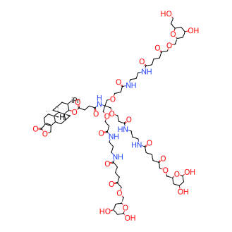 CC(C)C1CC2[C@@H](C)[C@]23[C@]2(C[C@H]2CC2C4=C(CC[C@@]23C)C(=O)OC4)[C@@H]1OC(=O)CCC(=O)NC(COCCC(=O)NCCCNC(=O)CCCC(=O)COC[C@@H]1C[C@H](O)CC(O)O1)(COCCC(=O)NCCCNC(=O)CCCC(=O)COC[C@@H]1C[C@H](O)CC(O)O1)COCCC(=O)NCCCNC(=O)CCCC(=O)COC[C@@H]1C[C@H](O)CC(CCO)O1